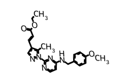 CCOC(=O)C=Cc1cnn(-c2nccc(NCc3ccc(OC)cc3)n2)c1C